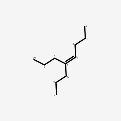 CCC[C]=C(CCC)CCC